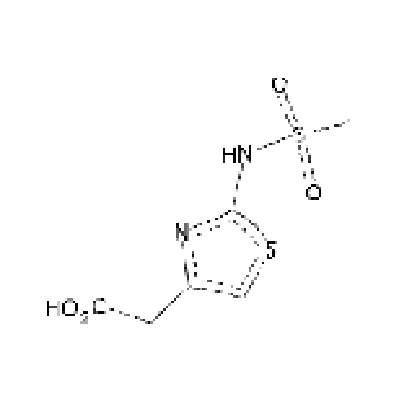 CS(=O)(=O)Nc1nc(CC(=O)O)cs1